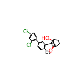 CCc1ccc(-c2ccc(Cl)cc2Cl)cc1C1=C(O)C2CCC(CC2)C1=O